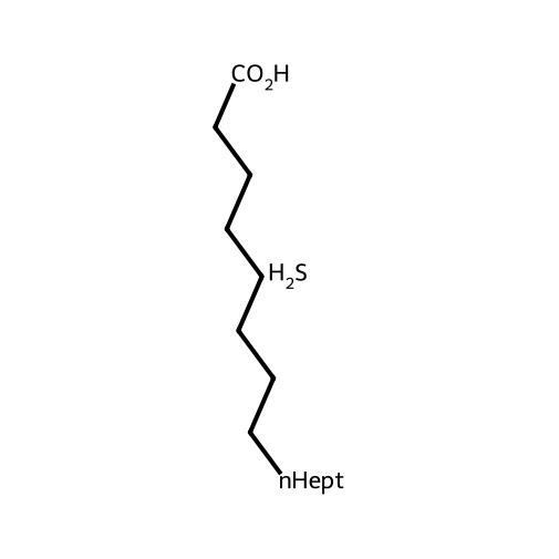 S.[CH2]CCCCCCCCCCCCCC(=O)O